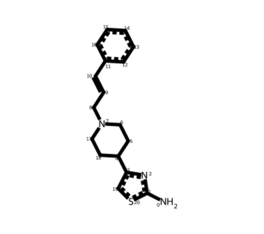 Nc1nc(C2CCN(C/C=C/c3ccccc3)CC2)cs1